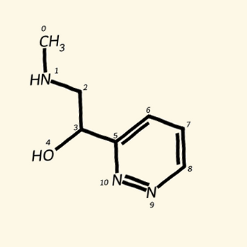 CNCC(O)c1cccnn1